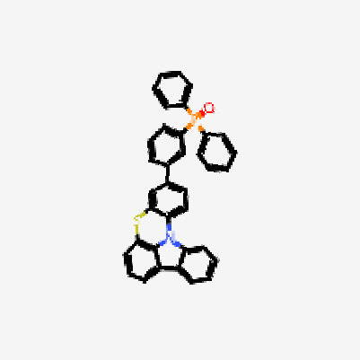 O=P(c1ccccc1)(c1ccccc1)c1cccc(-c2ccc3c(c2)Sc2cccc4c5ccccc5n-3c24)c1